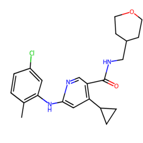 Cc1ccc(Cl)cc1Nc1cc(C2CC2)c(C(=O)NCC2CCOCC2)cn1